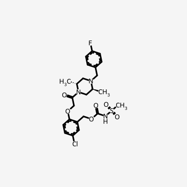 C[C@@H]1CN(Cc2ccc(F)cc2)[C@@H](C)CN1C(=O)COc1ccc(Cl)cc1COC(=O)NS(C)(=O)=O